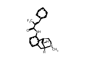 CN1CC[C@]23CCCC[C@H]2[C@H]1Cc1cccc(NC(=O)C(=Cc2ccccc2)C(F)(F)F)c13